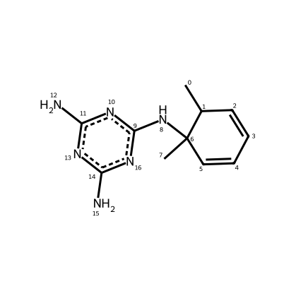 CC1C=CC=CC1(C)Nc1nc(N)nc(N)n1